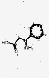 NN(CC(=O)O)c1ccccc1